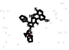 C#Cc1c(F)ccc2cc(O)cc(-c3c(F)cc4c(N5CC6CCC(C5)N6)nc(OCC5(CN6C7CCC6CC(C#N)C7)CC5)nc4c3F)c12